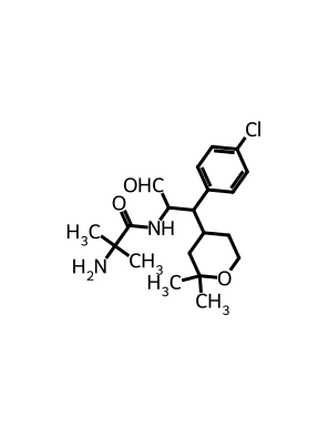 CC1(C)CC(C(c2ccc(Cl)cc2)C(C=O)NC(=O)C(C)(C)N)CCO1